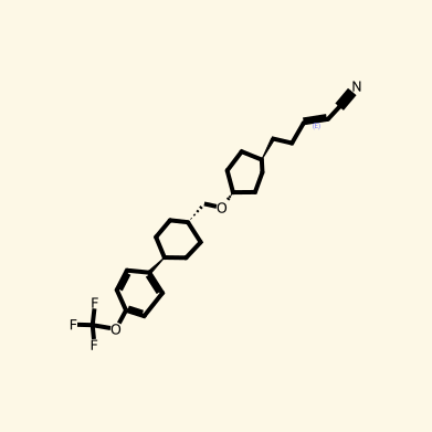 N#C/C=C/CC[C@H]1CC[C@H](OC[C@H]2CC[C@H](c3ccc(OC(F)(F)F)cc3)CC2)CC1